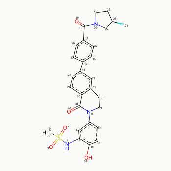 CS(=O)(=O)Nc1cc(N2CCc3cc(-c4ccc(C(=O)N5CC[C@@H](F)C5)cc4)ccc3C2=O)ccc1O